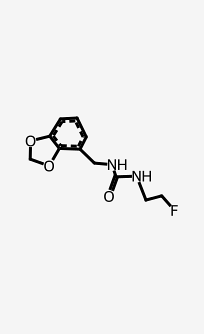 O=C(NCCF)NCc1cccc2c1OCO2